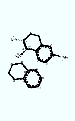 COc1ccc2c(c1)CC[C@@H](Br)[C@@H]2O.c1ccc2c(c1)CCCC2